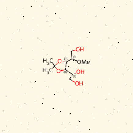 CO[C@H](CO)[C@H]1OC(C)(C)O[C@@H]1[C@H](O)CO